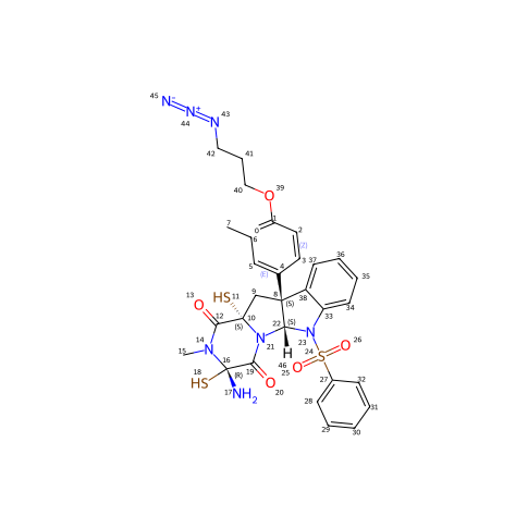 C=C(/C=C\C(=C/CC)[C@]12C[C@]3(S)C(=O)N(C)[C@@](N)(S)C(=O)N3[C@H]1N(S(=O)(=O)c1ccccc1)c1ccccc12)OCCCN=[N+]=[N-]